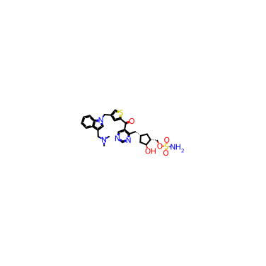 CN(C)Cc1cn(Cc2csc(C(=O)c3cncnc3C[C@@H]3C[C@H](COS(N)(=O)=O)[C@@H](O)C3)c2)c2ccccc12